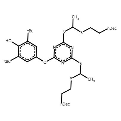 CCCCCCCCCCCCSC(C)Sc1nc(Oc2cc(C(C)(C)C)c(O)c(C(C)(C)C)c2)nc(SC(C)SCCCCCCCCCCCC)n1